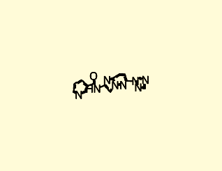 O=C(Nc1cn2nc(-n3cncn3)ccc2n1)c1cccnc1